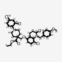 CCOC(=O)C1(COc2ccc(Cl)c3c2CCC(=O)N3Cc2ccc(OC)cc2)CCN(c2ccc(Cl)cc2Cl)CC1